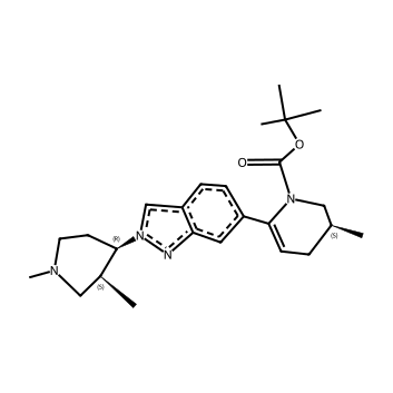 C[C@H]1CC=C(c2ccc3cn([C@@H]4CCN(C)C[C@@H]4C)nc3c2)N(C(=O)OC(C)(C)C)C1